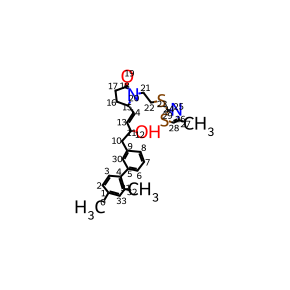 Cc1ccc(-c2cccc(C[C@H](O)/C=C/[C@H]3CCC(=O)N3CCSc3nc(C)cs3)c2)c(C)c1